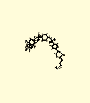 C=CCCC1CCC(c2ccc(C(F)(F)OC3CCC(C(F)(F)Oc4cc(F)c(S(F)(F)(F)(F)F)c(F)c4)CC3)cc2)OC1